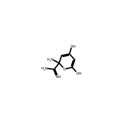 N=C(N)C1(N)C=C(O)C=C(O)O1